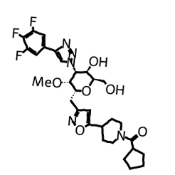 CO[C@@H]1[C@@H](n2cc(-c3cc(F)c(F)c(F)c3)nn2)[C@@H](O)[C@@H](CO)O[C@@H]1Cc1cc(C2CCN(C(=O)C3CCCC3)CC2)on1